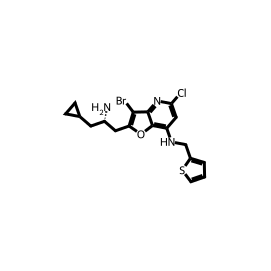 N[C@H](Cc1oc2c(NCc3cccs3)cc(Cl)nc2c1Br)CC1CC1